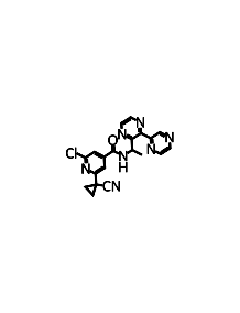 CC(NC(=O)c1cc(Cl)nc(C2(C#N)CC2)c1)c1nccnc1-c1cnccn1